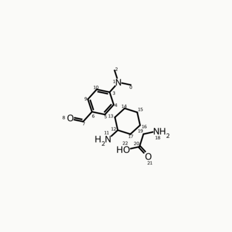 CN(C)c1ccc(C=O)cc1.NC1CCCCC1.NCC(=O)O